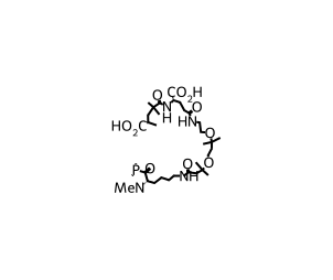 CN[C@@H](CCCCNC(=O)CC(C)(C)OCCC(C)(C)OCCNC(=O)CC[C@H](NC(=O)C(C)(C)CC(C)C(=O)O)C(=O)O)C(=O)P(C)C